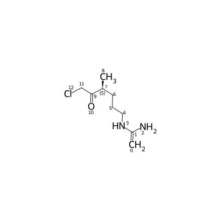 C=C(N)NCCC[C@H](C)C(=O)CCl